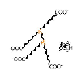 CC(=O)O.O=C([O-])CCCCCCCCP(CCCCCCCCC(=O)[O-])CCCP(CCCCCCCCC(=O)[O-])CCCCCCCCC(=O)[O-].[Pd+2].[Pd+2]